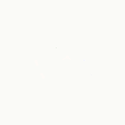 CCS(=O)(=O)c1ccc(OC/C(F)=C\CN)cc1.Cl